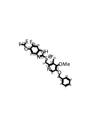 COc1c(OCc2ccccc2)cnc(C[S+]([O-])c2nc3cc(OC(F)F)c(F)cc3[nH]2)c1C